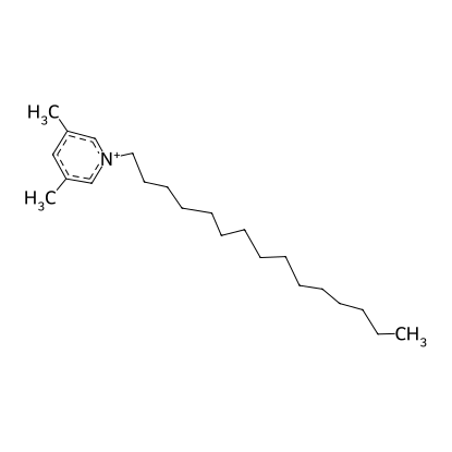 CCCCCCCCCCCCCCC[n+]1cc(C)cc(C)c1